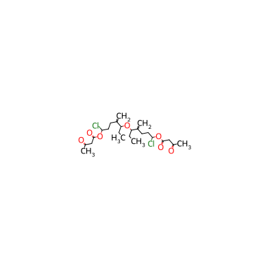 C=C(CCC(Cl)OC(=O)CC(C)=O)C(CC)OC(CC)C(=C)CCC(Cl)OC(=O)CC(C)=O